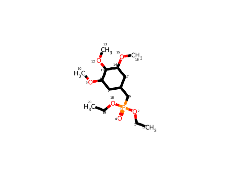 CCOP(=O)(CC1CC(OC)C(OC)C(OC)C1)OCC